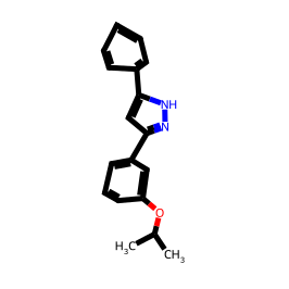 CC(C)Oc1cccc(-c2cc(-c3ccccc3)[nH]n2)c1